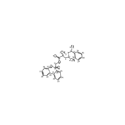 CCC(CC(C#N)CC(C)C(=O)OCP1(=O)Oc2ccccc2-c2ccccc21)c1ccccc1